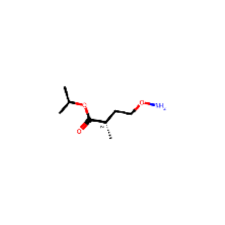 CC(C)OC(=O)[C@@H](C)CCON